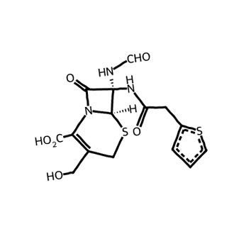 O=CN[C@@]1(NC(=O)Cc2cccs2)C(=O)N2C(C(=O)O)=C(CO)CS[C@@H]21